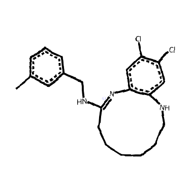 Cc1cccc(CN/C2=N/c3cc(Cl)c(Cl)cc3NCCCCCC2)c1